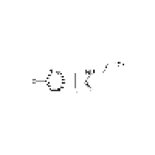 CC(C)(C(=O)NCCO)c1ccc(Cl)nc1